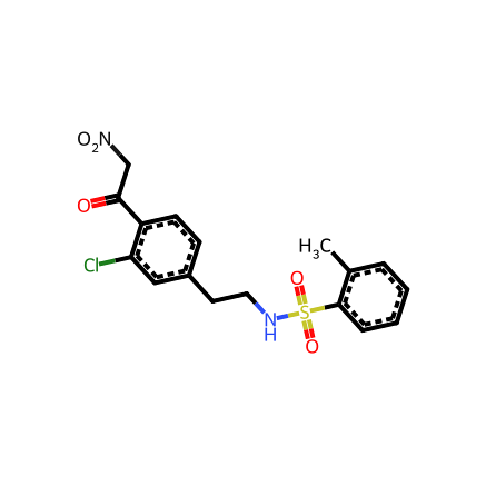 Cc1ccccc1S(=O)(=O)NCCc1ccc(C(=O)C[N+](=O)[O-])c(Cl)c1